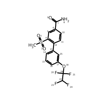 CS(=O)(=O)c1cc(C(N)=O)ccc1-c1cccc(OC(F)(F)C(F)F)c1